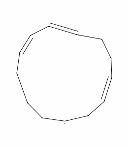 [CH]1C/C=C\CC/C=C/C=C\CCC1